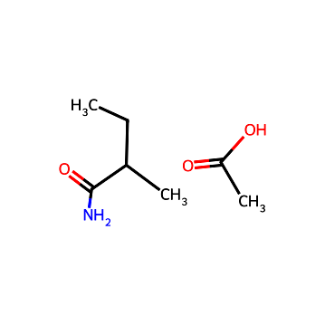 CC(=O)O.CCC(C)C(N)=O